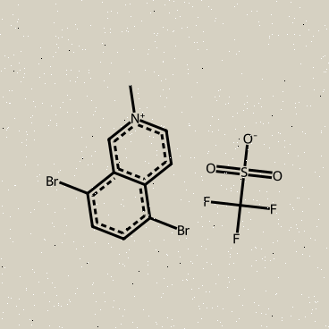 C[n+]1ccc2c(Br)ccc(Br)c2c1.O=S(=O)([O-])C(F)(F)F